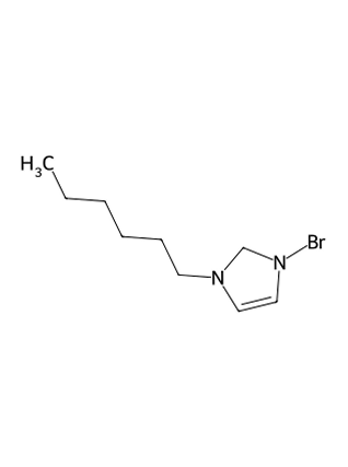 CCCCCCN1C=CN(Br)C1